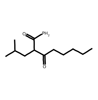 CCCCCC(=O)C(CC(C)C)C(=O)P